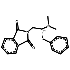 CN(C)[C@H](Cc1ccccc1)CN1C(=O)c2ccccc2C1=O